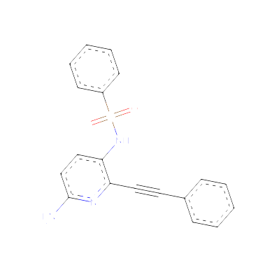 Nc1ccc(NS(=O)(=O)c2ccccc2)c(C#Cc2ccccc2)n1